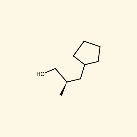 C[C@@H](CO)CC1CCCC1